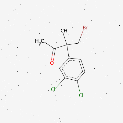 CC(=O)C(C)(CBr)c1ccc(Cl)c(Cl)c1